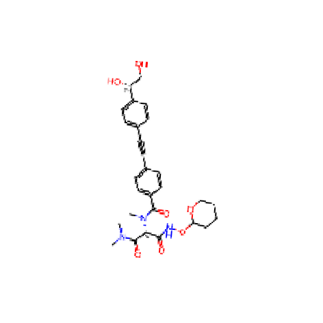 CN(C)C(=O)[C@@H](C(=O)NOC1CCCCO1)N(C)C(=O)c1ccc(C#Cc2ccc([C@H](O)CO)cc2)cc1